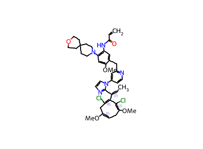 C=CC(=O)Nc1cc(Cc2cc(-n3ccnc3C(=C\C)/C3=C(\Cl)C/C(OC)=C\C/C(OC)=C\3Cl)ccn2)c(OC)cc1N1CCC2(CCOCC2)CC1